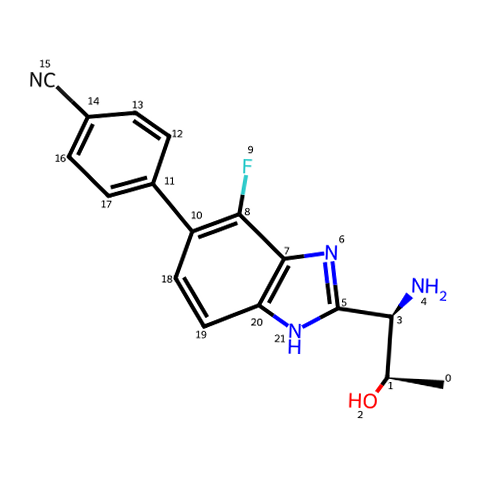 C[C@@H](O)[C@H](N)c1nc2c(F)c(-c3ccc(C#N)cc3)ccc2[nH]1